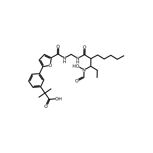 CCCCCC(C(=O)NCNC(=O)c1ccc(-c2cccc(C(C)(C)C(=O)O)c2)o1)C(CC)N(O)C=O